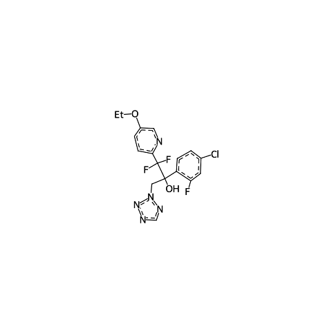 CCOc1ccc(C(F)(F)C(O)(Cn2ncnn2)c2ccc(Cl)cc2F)nc1